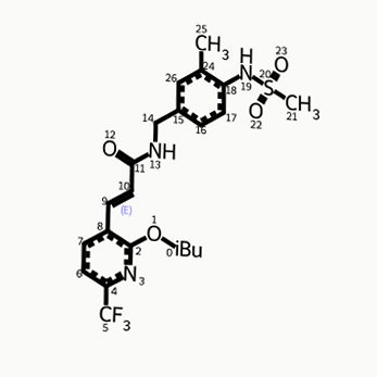 CCC(C)Oc1nc(C(F)(F)F)ccc1/C=C/C(=O)NCc1ccc(NS(C)(=O)=O)c(C)c1